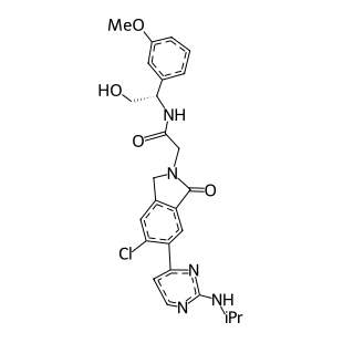 COc1cccc([C@@H](CO)NC(=O)CN2Cc3cc(Cl)c(-c4ccnc(NC(C)C)n4)cc3C2=O)c1